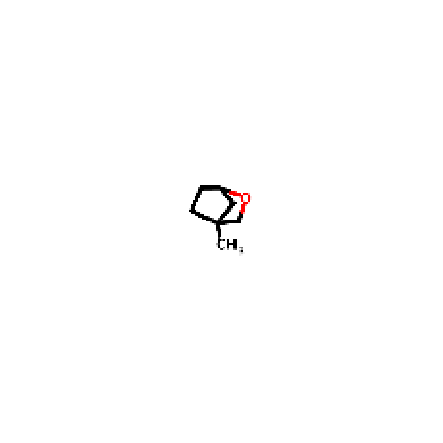 CC12CCC(C1)OC2